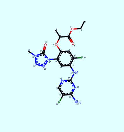 CCOC(=O)C(C)Oc1cc(F)c(Nc2ncc(F)c(N)n2)cc1-n1nnn(C)c1=O